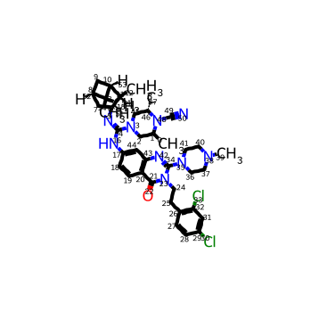 CC1CN(/C(=N\[C@H]2C[C@@H]3C[C@H]([C@@H]2C)C3(C)C)Nc2ccc3c(=O)n(CCc4ccc(Cl)cc4Cl)c(N4CCN(C)CC4)nc3c2)C[C@H](C)N1C#N